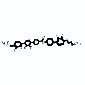 CCCCCc1ccc(C2CCC(OC(=O)C3CCC(c4ccc(-c5ccc(CC)c(F)c5F)c(F)c4F)CC3)CC2)c(F)c1F